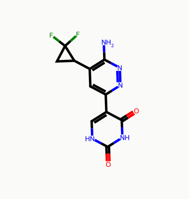 Nc1nnc(-c2c[nH]c(=O)[nH]c2=O)cc1C1CC1(F)F